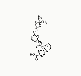 CC1(C)OC[C@@H](COc2cccc(NC(=O)N3c4nc(C(=O)O)ncc4N4CCC[C@H]3C4)n2)O1